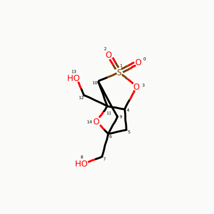 O=S1(=O)OC2CC3(CO)CC1C2(CO)O3